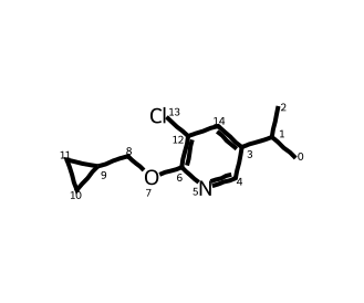 CC(C)c1cnc(OCC2CC2)c(Cl)c1